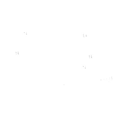 Cc1ncc(-c2cc(F)c3c(c2)c(Br)nn3CC(=O)O)cn1